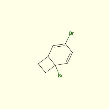 BrC1=CC2CCC2(Br)C=C1